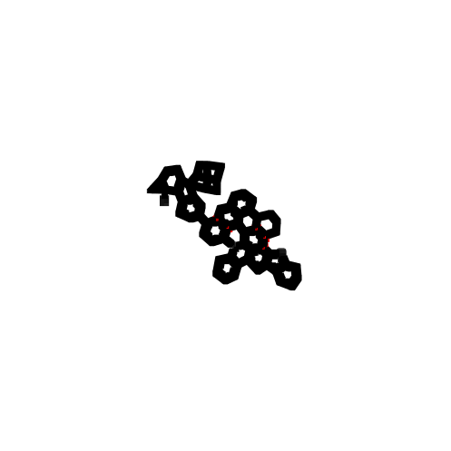 C1=CC2=C(c3ccc(-c4ccc(N(c5ccccc5-c5ccc6oc7ccccc7c6c5)c5ccccc5-c5cccc6cccc(C7CCCCC7)c56)cc4)cc3C23C2CC4CC5CC3C452)[C@@H]2C=C12